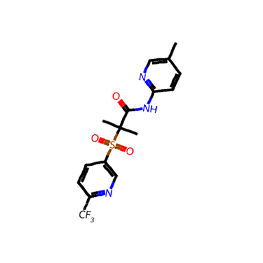 Cc1ccc(NC(=O)C(C)(C)S(=O)(=O)c2ccc(C(F)(F)F)nc2)nc1